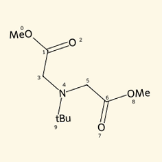 COC(=O)CN(CC(=O)OC)C(C)(C)C